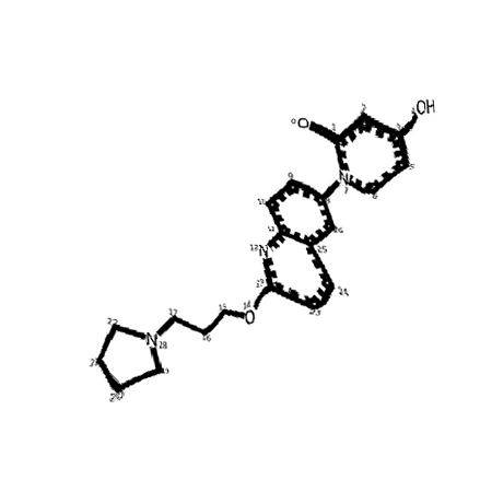 O=c1cc(O)ccn1-c1ccc2nc(OCCCN3CCCC3)ccc2c1